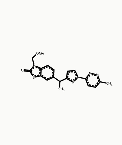 COCn1c(=O)sc2cc(C(C)c3ccn(-c4ccc(C)nn4)n3)ccc21